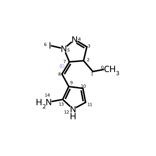 CCC1C=NN(I)/C1=C/c1cc[nH]c1N